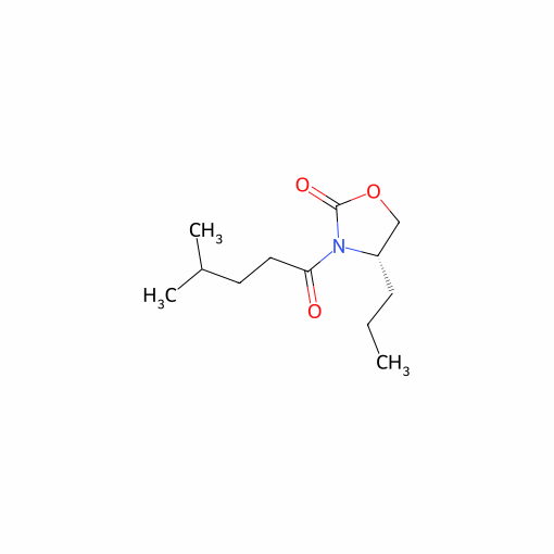 CCC[C@H]1COC(=O)N1C(=O)CCC(C)C